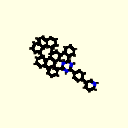 c1ccc(-c2nc(-c3ccc(-c4cccnc4)cc3)nc(-c3ccccc3-c3cc4ccc5cccc6c7cccc8ccc9cccc(c(c3)c4c56)c9c87)n2)cc1